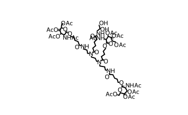 CC(=O)NC1C(OC(C)=O)[C@@H](OC(C)=O)C(COC(C)=O)O[C@H]1OCCCCC(=O)NCCCN(CCCN(CCCNC(=O)CCCCO[C@@H]1OC(COC(C)=O)[C@H](OC(C)=O)C(OC(C)=O)C1NC(C)=O)C(=O)CCCCC(=O)NCC(O)CO)C(=O)CCCCO[C@@H]1OC(COC(C)=O)[C@H](OC(C)=O)C(OC(C)=O)C1NC(C)=O